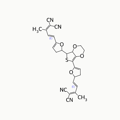 CC(/C=C/C1=CCC(C2SC(C3=CCC(/C=C/C(C)=C(C#N)C#N)O3)=C3OCCOC32)O1)=C(C#N)C#N